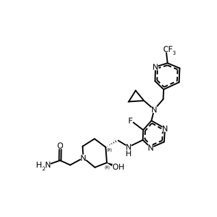 NC(=O)CN1CC[C@H](CNc2ncnc(N(Cc3ccc(C(F)(F)F)nc3)C3CC3)c2F)[C@@H](O)C1